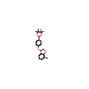 Cc1cccc2c1OCC2Oc1ccc(B2OC(C)(C)C(C)(C)O2)cc1